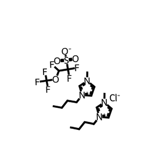 CCCC[n+]1ccn(C)c1.CCCC[n+]1ccn(C)c1.O=S(=O)([O-])C(F)(F)C(F)OC(F)(F)F.[Cl-]